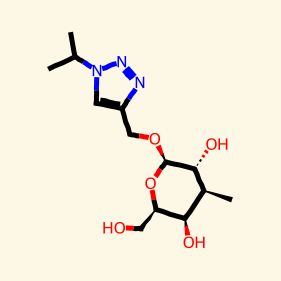 CC(C)n1cc(CO[C@@H]2O[C@H](CO)[C@H](O)[C@H](C)[C@H]2O)nn1